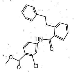 COC(=O)c1ccc(NC(=O)c2ccccc2CCc2ccccc2)cc1Cl